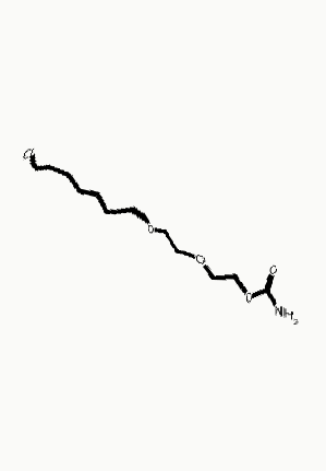 NC(=O)OCCOCCOCCCCCCCl